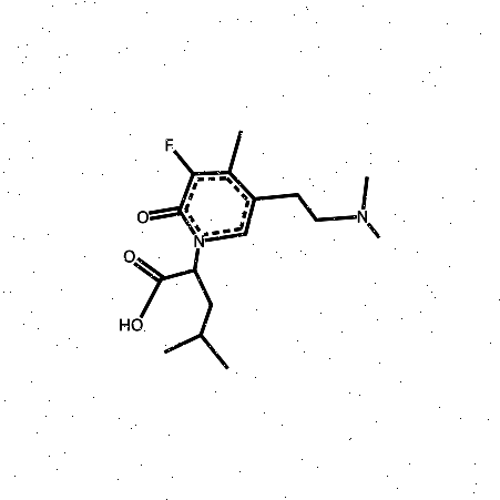 Cc1c(CCN(C)C)cn(C(CC(C)C)C(=O)O)c(=O)c1F